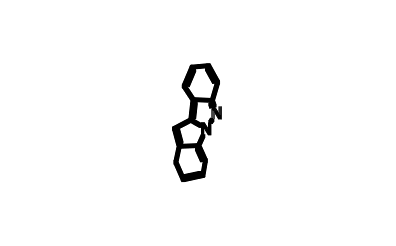 C1=CCc2cc3c4ccccc4nn3c2=C1